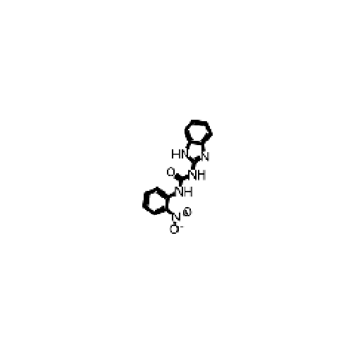 O=C(Nc1nc2ccccc2[nH]1)Nc1ccccc1[N+](=O)[O-]